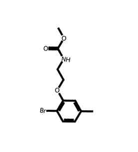 COC(=O)NCCOc1cc(C)ccc1Br